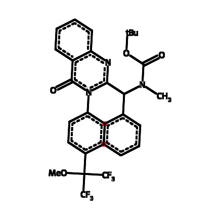 COC(c1ccc(-n2c(C(c3ccccc3)N(C)C(=O)OC(C)(C)C)nc3ccccc3c2=O)cc1)(C(F)(F)F)C(F)(F)F